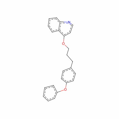 c1ccc(Oc2ccc(CCCOc3ccnc4ccccc34)cc2)cc1